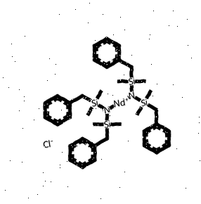 C[Si](C)(Cc1ccccc1)[N]([Nd+][N]([Si](C)(C)Cc1ccccc1)[Si](C)(C)Cc1ccccc1)[Si](C)(C)Cc1ccccc1.[Cl-]